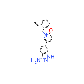 C=Cc1ccccc1Cn1cc(-c2ccc3c(N)n[nH]c3c2)ccc1=O